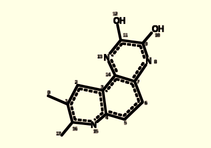 Cc1cc2c(ccc3nc(O)c(O)nc32)nc1C